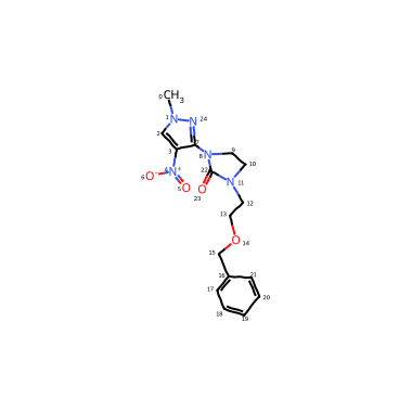 Cn1cc([N+](=O)[O-])c(N2CCN(CCOCc3ccccc3)C2=O)n1